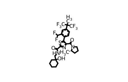 C[C@H]1CCCN1C(=O)c1nc(C(=O)NCC2(O)CCCCC2)sc1-c1ccc(C(C)(C(F)(F)F)C(F)(F)F)cc1C(F)F